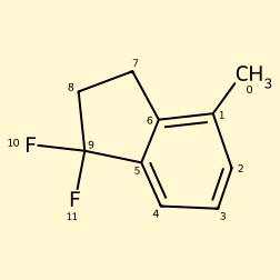 Cc1cccc2c1CCC2(F)F